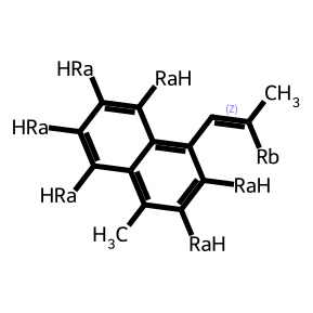 C/[C]([Rb])=C/c1[c]([RaH])[c]([RaH])c(C)c2[c]([RaH])[c]([RaH])[c]([RaH])[c]([RaH])c12